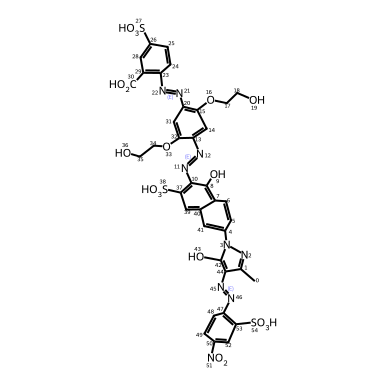 Cc1nn(-c2ccc3c(O)c(/N=N/c4cc(OCCO)c(/N=N/c5ccc(S(=O)(=O)O)cc5C(=O)O)cc4OCCO)c(S(=O)(=O)O)cc3c2)c(O)c1/N=N/c1ccc([N+](=O)[O-])cc1S(=O)(=O)O